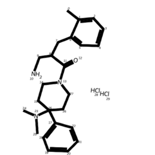 Cc1ccccc1CC(CN)C(=O)N1CCC(c2ccccc2)(N(C)C)CC1.Cl.Cl